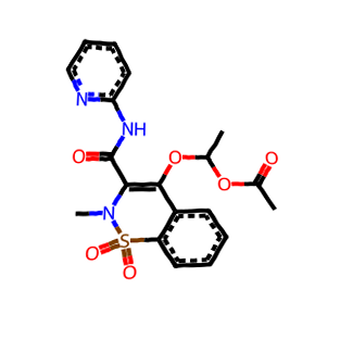 CC(=O)OC(C)OC1=C(C(=O)Nc2ccccn2)N(C)S(=O)(=O)c2ccccc21